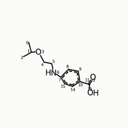 CC(C)OCCNc1ccc(C(=O)O)cc1